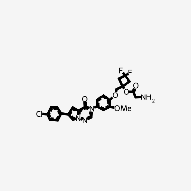 COc1cc(-n2cnn3cc(-c4ccc(Cl)cc4)cc3c2=O)ccc1OCC1(OC(=O)CN)CC(F)(F)C1